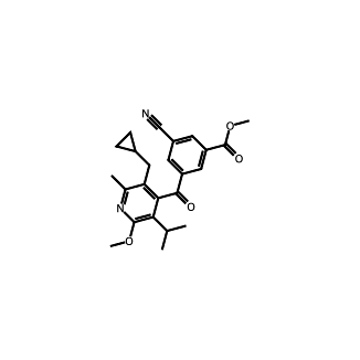 COC(=O)c1cc(C#N)cc(C(=O)c2c(CC3CC3)c(C)nc(OC)c2C(C)C)c1